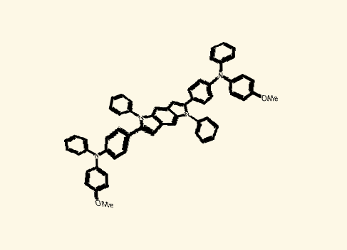 COc1ccc(N(c2ccccc2)c2ccc(-c3cc4cc5c(cc(-c6ccc(N(c7ccccc7)c7ccc(OC)cc7)cc6)n5-c5ccccc5)cc4n3-c3ccccc3)cc2)cc1